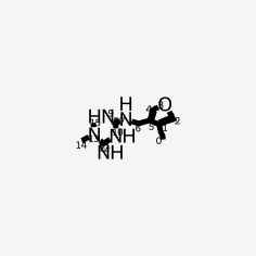 Cc1cocc1CNC(=N)NC(=N)N(C)C